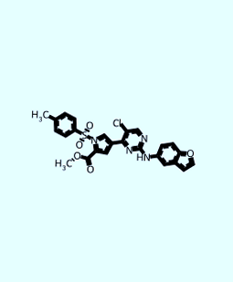 COC(=O)c1cc(-c2nc(Nc3ccc4occc4c3)ncc2Cl)cn1S(=O)(=O)c1ccc(C)cc1